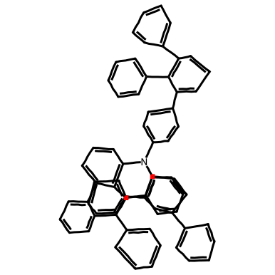 c1ccc(-c2ccc(N(c3ccc(-c4cccc(-c5ccccc5)c4-c4ccccc4)cc3)c3cccc4c3c(-c3ccccc3)c(-c3ccccc3)c3ccccc34)c(-c3ccccc3)c2)cc1